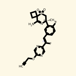 C#CCOc1cnc(/C(F)=C/c2ccc(F)c([C@]3(C)CS(=O)(=O)C4(CCC4)C(N)=N3)c2)cn1